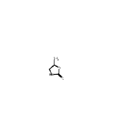 NC1CNC(=O)O1